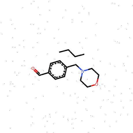 CCCC.O=Cc1ccc(CN2CCOCC2)cc1